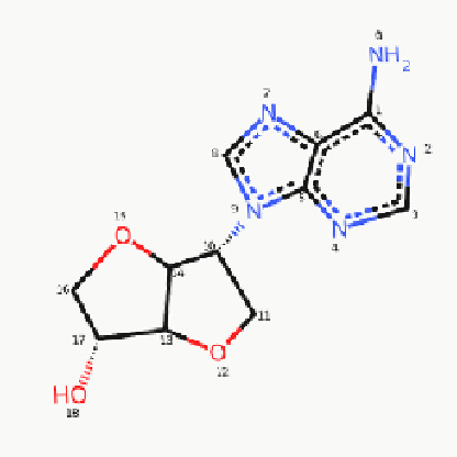 Nc1ncnc2c1ncn2[C@@H]1COC2C1OC[C@H]2O